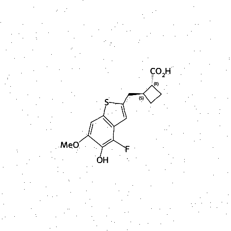 COc1cc2sc(C[C@@H]3CC[C@H]3C(=O)O)cc2c(F)c1O